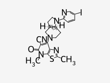 Cc1nc2c(N3CC[C@H]4[C@H](CCN4c4ccc(I)cn4)C3)c(C#N)c(=O)n(C)c2s1